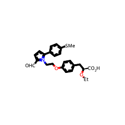 CCO[C@@H](Cc1ccc(OCCn2c(C=O)ccc2-c2ccc(SC)cc2)cc1)C(=O)O